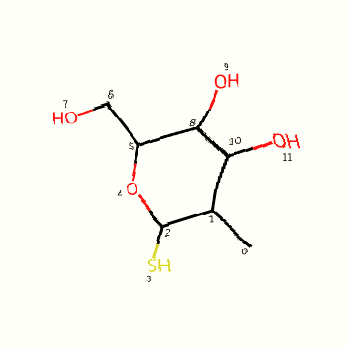 CC1C(S)OC(CO)C(O)C1O